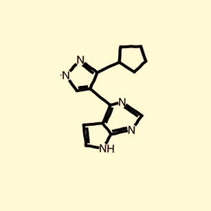 C1=C(c2ncnc3[nH]ccc23)C(C2CCCC2)=N[N]1